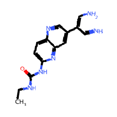 CCNC(=O)Nc1ccc2ncc(/C(C=N)=C/N)cc2n1